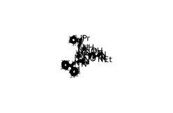 CCn1nnc([C@H]2O[C@@H](n3cnc4c(NCC(c5ccccc5)c5ccccc5)nc(CN(CCN(C(C)C)C5CCCC5)C(N)=O)nc43)[C@@H](O)[C@@H]2O)n1